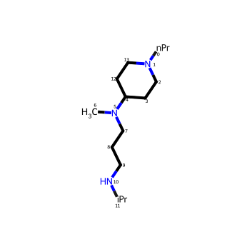 CCCN1CCC(N(C)CCCNC(C)C)CC1